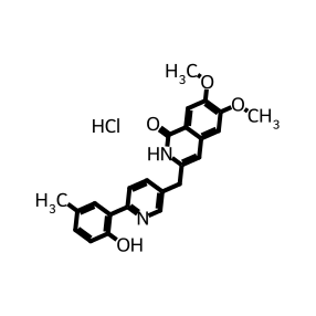 COc1cc2cc(Cc3ccc(-c4cc(C)ccc4O)nc3)[nH]c(=O)c2cc1OC.Cl